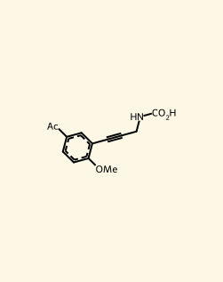 COc1ccc(C(C)=O)cc1C#CCNC(=O)O